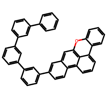 c1ccc(-c2cccc(-c3cccc(-c4cccc(-c5ccc6c(c5)cc5c7c(cccc76)-c6ccccc6O5)c4)c3)c2)cc1